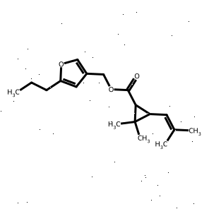 CCCc1cc(COC(=O)C2C(C=C(C)C)C2(C)C)co1